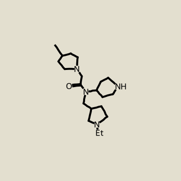 CCN1CCC(CN(C(=O)CN2CCC(C)CC2)C2CCNCC2)C1